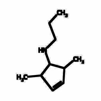 CCCNC1C(C)C=CC1C